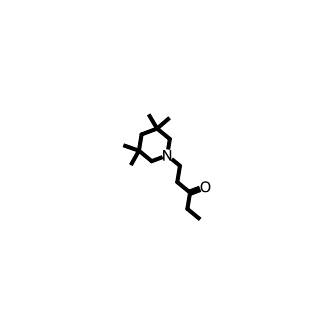 CCC(=O)CCN1CC(C)(C)CC(C)(C)C1